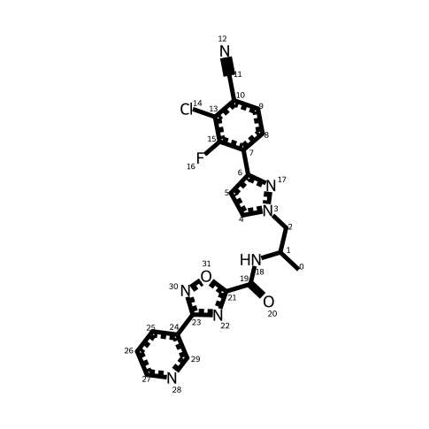 CC(Cn1ccc(-c2ccc(C#N)c(Cl)c2F)n1)NC(=O)c1nc(-c2cccnc2)no1